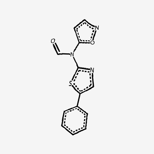 O=CN(c1ccno1)c1ncc(-c2ccccc2)s1